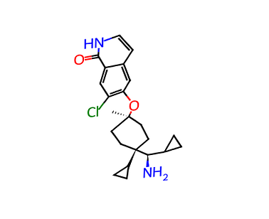 C[C@]1(Oc2cc3cc[nH]c(=O)c3cc2Cl)CC[C@](C2CC2)([C@H](N)C2CC2)CC1